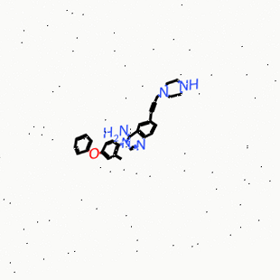 Cc1cc(Oc2ccccc2)ccc1N1C=Nc2ccc(C#CCN3CCNCC3)cc2C1N